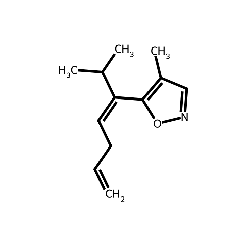 C=CC/C=C(\c1oncc1C)C(C)C